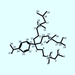 CC(C)C[Si](C)(C)CCCC(CCC[Si](C)(C)CC(C)C)(CCC[Si](C)(C)CC(C)C)c1ccc(C(C)C)cc1